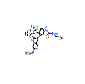 CNc1cc2nc(C)c(-c3cc(NC(=O)NCCC(C)(C)C)ccc3C)cc2cn1.Cl